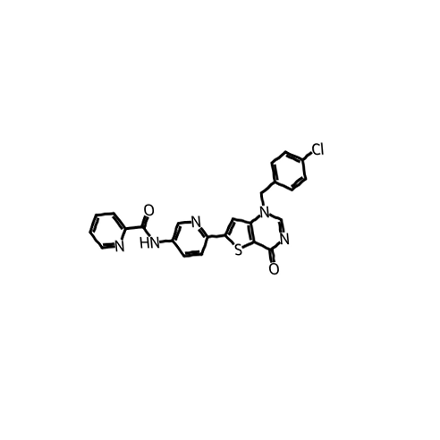 O=C(Nc1ccc(-c2cc3c(s2)c(=O)ncn3Cc2ccc(Cl)cc2)nc1)c1ccccn1